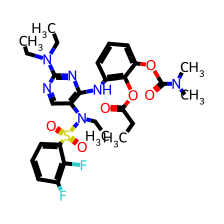 CCC(=O)Oc1c(Nc2nc(N(CC)CC)ncc2N(CC)S(=O)(=O)c2cccc(F)c2F)cccc1OC(=O)N(C)C